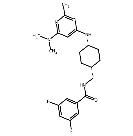 Cc1nc(N[C@H]2CC[C@@H](CNC(=O)c3cc(F)cc(F)c3)CC2)cc(N(C)C)n1